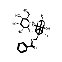 CC12O[C@@H]3OC1(O)[C@@H]1C[C@@]2(O[C@@H]2O[C@H](CO)[C@@H](O)[C@H](O)[C@H]2O)[C@]31COC(=O)c1ccccc1